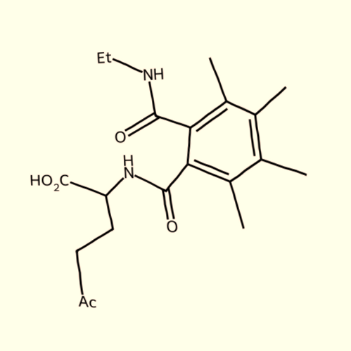 CCNC(=O)c1c(C)c(C)c(C)c(C)c1C(=O)NC(CCC(C)=O)C(=O)O